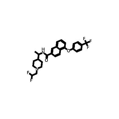 CC(NC(=O)c1ccc2c(Oc3ccc(C(F)(F)F)cc3)cccc2c1)C1CCN(CC(F)F)CC1